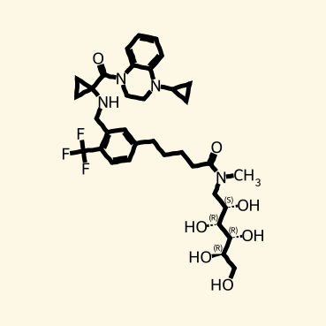 CN(C[C@H](O)[C@@H](O)[C@H](O)[C@H](O)CO)C(=O)CCCCc1ccc(C(F)(F)F)c(CNC2(C(=O)N3CCN(C4CC4)c4ccccc43)CC2)c1